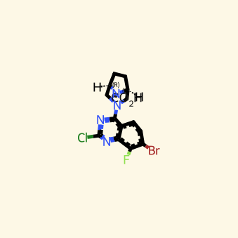 O=C(O)N1[C@@H]2CC[C@H]1CN(c1nc(Cl)nc3c(F)c(Br)ccc13)C2